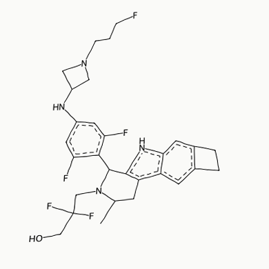 CC1Cc2c([nH]c3cc4c(cc23)CC4)C(c2c(F)cc(NC3CN(CCCF)C3)cc2F)N1CC(F)(F)CO